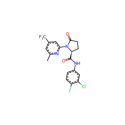 Cc1cc(C(F)(F)F)cc(N2C(=O)CC[C@H]2C(=O)Nc2ccc(F)c(Cl)c2)n1